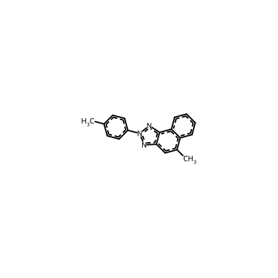 Cc1ccc(-n2nc3cc(C)c4ccccc4c3n2)cc1